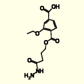 CCOc1cc(C(=O)O)ccc1C(=O)OCCCC(=O)NN